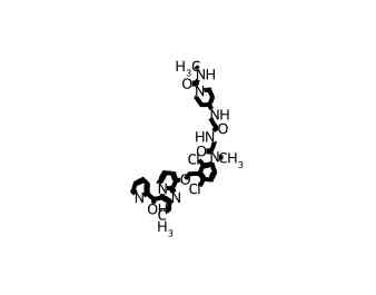 CCc1nc2c(OCc3c(Cl)ccc(N(C)C(=O)CNC(=O)CNC4CCN(C(=O)NC)CC4)c3Cl)cccn2c1C(O)c1ccccn1